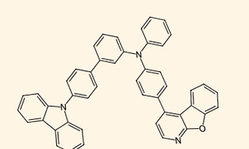 c1ccc(N(c2ccc(-c3ccnc4oc5ccccc5c34)cc2)c2cccc(-c3ccc(-n4c5ccccc5c5ccccc54)cc3)c2)cc1